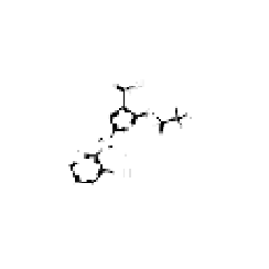 Cc1cccnc1S(=O)(=O)c1cc(C(N)=O)c(NC(=O)C(C)(C)O)s1